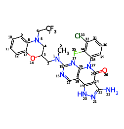 CN(CC1CN(CC(F)(F)F)c2ccccc2O1)c1ncc2c3[nH]nc(N)c3c(=O)n(-c3cccc(Cl)c3F)c2n1